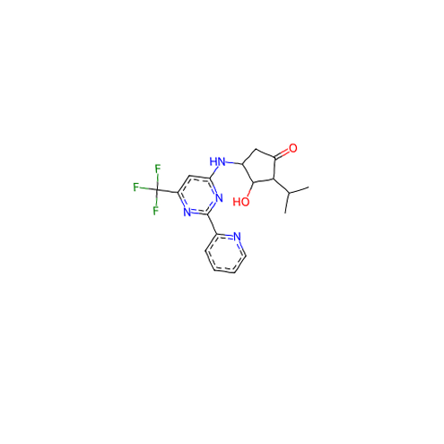 CC(C)C1C(=O)CC(Nc2cc(C(F)(F)F)nc(-c3ccccn3)n2)C1O